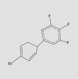 CCC1=CCC(c2cc(F)c(F)c(F)c2)C=C1